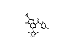 Cc1ccc(C(=O)c2cc(-c3c(C)noc3C)cc3[nH]c(C4CC4)nc23)nn1